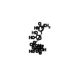 COP(=O)(OC[C@H]1O[C@@H](CC2=CN(C)C(=O)NC2)C(O)C1O)OP(=O)(O)OP(=O)(O)O